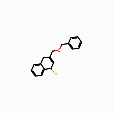 S[C@@H]1C=C(COCc2ccccc2)[CH]c2ccccc21